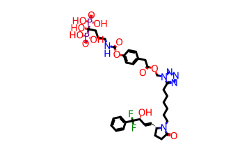 O=C(Cc1ccc(OC(=O)NCCCC(O)(P(=O)(O)O)P(=O)(O)O)cc1)OCn1nnnc1CCCCCCN1C(=O)CC[C@@H]1/C=C/[C@@H](O)C(F)(F)c1ccccc1